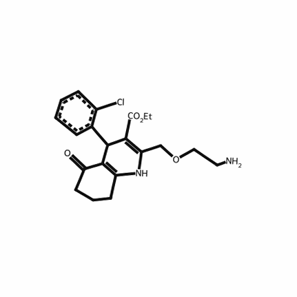 CCOC(=O)C1=C(COCCN)NC2=C(C(=O)CCC2)C1c1ccccc1Cl